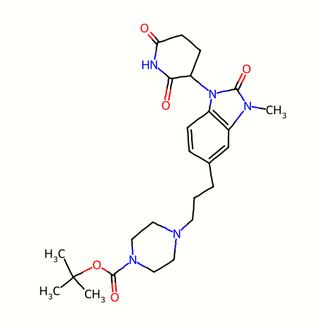 Cn1c(=O)n(C2CCC(=O)NC2=O)c2ccc(CCCN3CCN(C(=O)OC(C)(C)C)CC3)cc21